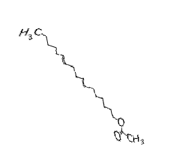 CCCCC/C=C/CC/C=C/CCCCCCOC(C)=O